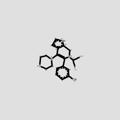 N#Cc1cccc(C2=C(N3CCOCC3)c3cc[nH]c3CN2C(F)F)c1